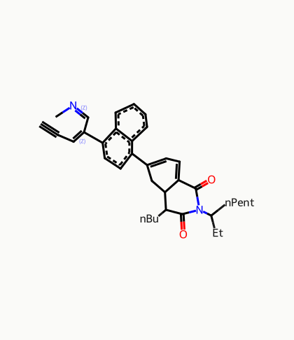 C#C/C=C(\C=N/C)c1ccc(C2=CC=C3C(=O)N(C(CC)CCCCC)C(=O)C(CCCC)C3C2)c2ccccc12